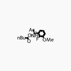 CCCCC(=O)ONN(C(C)=O)c1cccc(OC)c1F